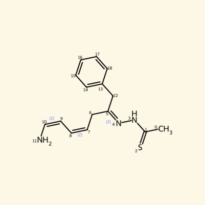 CC(=S)N/N=C(/C/C=C\C=C/N)Cc1ccccc1